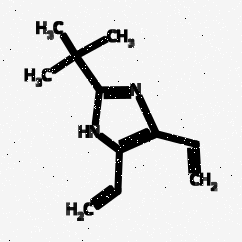 C=Cc1nc(C(C)(C)C)[nH]c1C=C